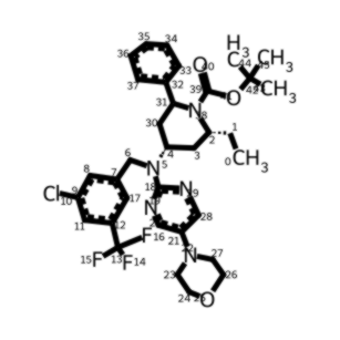 CC[C@@H]1C[C@H](N(Cc2cc(Cl)cc(C(F)(F)F)c2)c2ncc(N3CCOCC3)cn2)CC(c2ccccc2)N1C(=O)OC(C)(C)C